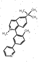 Cc1ccc(-c2cccnc2)cc1-c1c2ccc([Si](C)(C)C)cc2cc[n+]1C